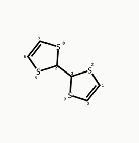 C1=CSC(C2SC=CS2)S1